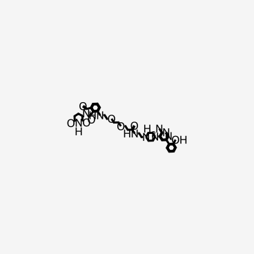 Nc1nnc(-c2ccccc2O)cc1N1CCN(CCNC(=O)CCOCCOCCNc2cccc3c2C(=O)N(C2CCC(=O)NC2=O)C3=O)CC1